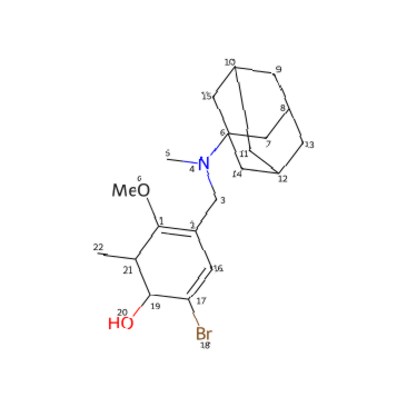 COC1=C(CN(C)C23CC4CC(CC(C4)C2)C3)C=C(Br)C(O)C1C